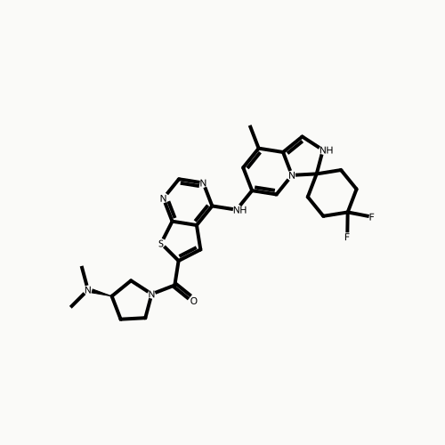 CC1=CC(Nc2ncnc3sc(C(=O)N4CC[C@@H](N(C)C)C4)cc23)=CN2C1=CNC21CCC(F)(F)CC1